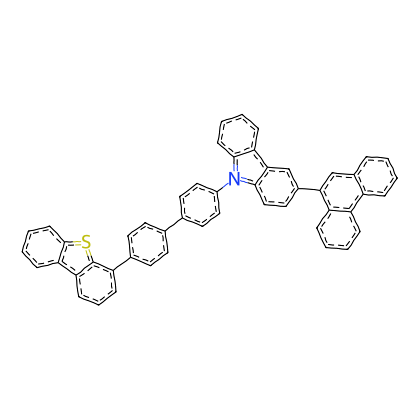 c1ccc2c(c1)cc(-c1ccc3c(c1)c1ccccc1n3-c1ccc(-c3ccc(-c4cccc5c4sc4ccccc45)cc3)cc1)c1ccccc12